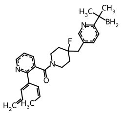 BC(C)(C)c1ccc(CC2(F)CCN(C(=O)c3cccnc3C(/C=C\C)=C/C=C)CC2)cn1